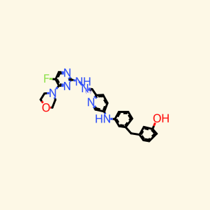 Oc1cccc(Cc2cccc(Nc3ccc(/C=N/Nc4ncc(F)c(N5CCOCC5)n4)nc3)c2)c1